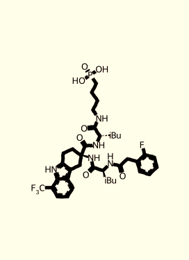 CCC(C)[C@H](NC(=O)Cc1ccccc1F)C(=O)N[C@]1(C(=O)N[C@H](C(=O)NCCCCP(=O)(O)O)C(C)CC)CCc2[nH]c3c(C(F)(F)F)cccc3c2C1